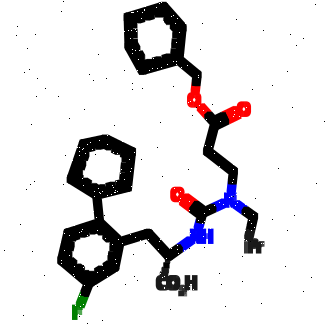 CC(C)CN(CCC(=O)OCc1ccccc1)C(=O)N[C@@H](Cc1cc(F)ccc1-c1ccccc1)C(=O)O